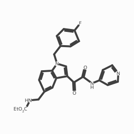 CCOC(=O)NCc1ccc2c(c1)c(C(=O)C(=O)Nc1ccncc1)cn2Cc1ccc(F)cc1